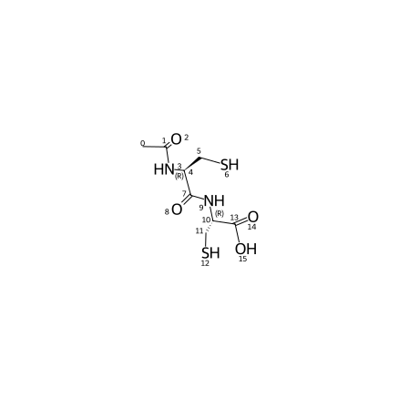 CC(=O)N[C@@H](CS)C(=O)N[C@@H](CS)C(=O)O